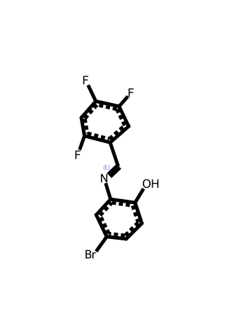 Oc1ccc(Br)cc1/N=C/c1cc(F)c(F)cc1F